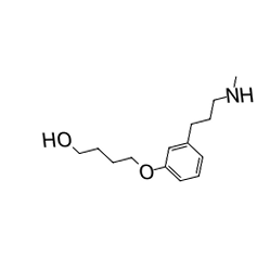 CNCCCc1cccc(OCCCCO)c1